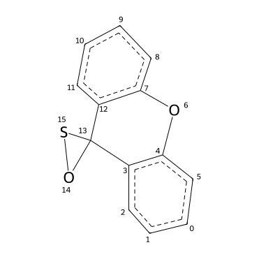 c1ccc2c(c1)Oc1ccccc1C21OS1